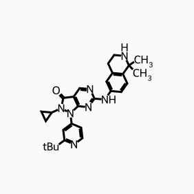 CC(C)(C)c1cc(-n2c3nc(Nc4ccc5c(c4)CCNC5(C)C)ncc3c(=O)n2C2CC2)ccn1